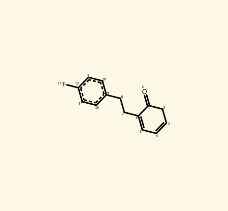 O=C1CC=CC=C1CCc1ccc(F)cc1